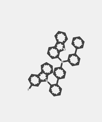 Fc1ccc2c3ccccc3n(-c3ccccc3-c3ccc(N(c4cccc(-c5ccccc5)c4)c4cccc5c4oc4ccccc45)cc3)c2c1